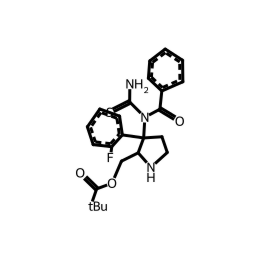 CC(C)(C)C(=O)OCC1NCCC1(c1ccccc1F)N(C(=O)c1ccccc1)C(N)=S